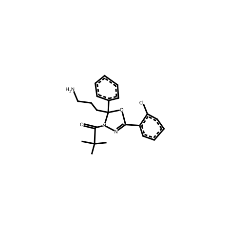 CC(C)(C)C(=O)N1N=C(c2ccccc2Cl)OC1(CCCN)c1ccccc1